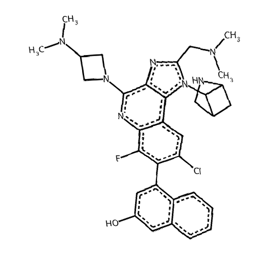 CN(C)Cc1nc2c(N3CC(N(C)C)C3)nc3c(F)c(-c4cc(O)cc5ccccc45)c(Cl)cc3c2n1C1C2CNC1C2